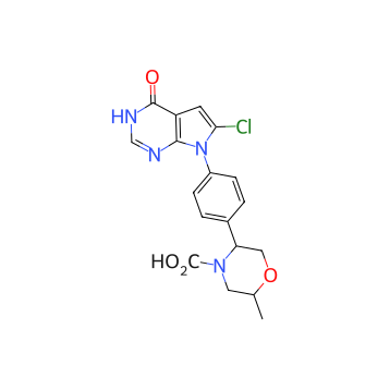 CC1CN(C(=O)O)C(c2ccc(-n3c(Cl)cc4c(=O)[nH]cnc43)cc2)CO1